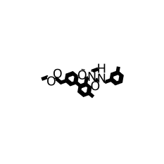 CCOC(=O)Cc1ccc(OC)c(-c2ccc(C)cc2CN(CC)C(=O)NCc2cccc(C)c2)c1